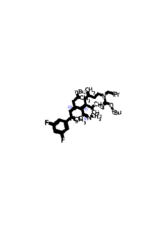 C=C(CCCC)CC(=C/C(C)c1cc(F)cc(F)c1)/C(C(/C)=N\C)=C(\CC(=C)CCN(CC(C)C)C(=O)OC(C)(C)C)C(=C)C